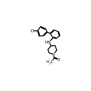 CC(=O)N1CCC(Nc2ccccc2-c2ccc(Cl)cc2)CC1